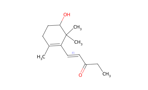 CCC(=O)/C=C/C1=C(C)CCC(O)C1(C)C